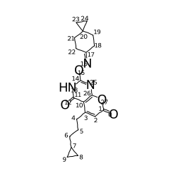 O=c1cc(CCCC2CC2)c2c(=O)[nH]c(ON=C3CCC4(CC3)CC4)nc2o1